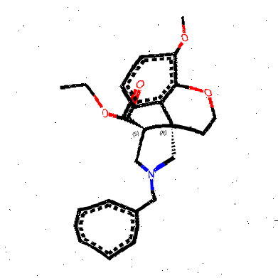 CCOC(=O)[C@@H]1CN(Cc2ccccc2)C[C@]12CCOc1c(OC)cccc12